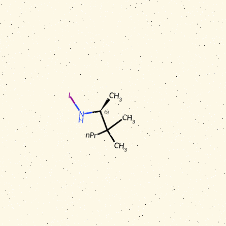 CCCC(C)(C)[C@H](C)NI